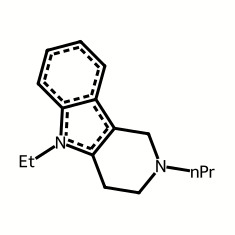 CCCN1CCc2c(c3ccccc3n2CC)C1